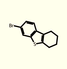 Brc1ccc2c3c(sc2c1)CCCC3